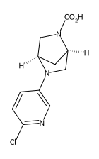 O=C(O)N1C[C@H]2C[C@@H]1CN2c1ccc(Cl)nc1